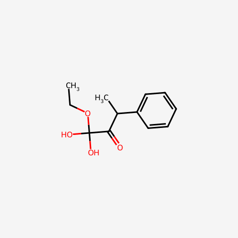 CCOC(O)(O)C(=O)C(C)c1ccccc1